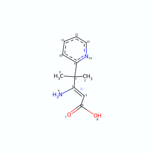 CC(C)(/C(N)=C/C(=O)O)c1ccccn1